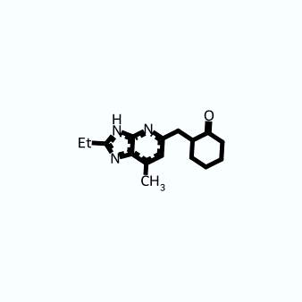 CCc1nc2c(C)cc(CC3CCCCC3=O)nc2[nH]1